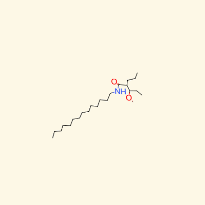 CCCCCCCCCCCCCCNC(=O)C(CCC)C(CC)OC